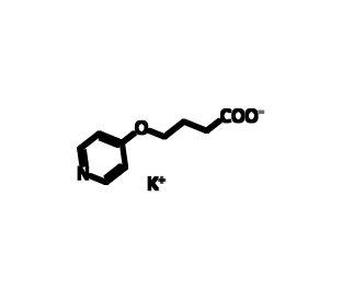 O=C([O-])CCCOc1ccncc1.[K+]